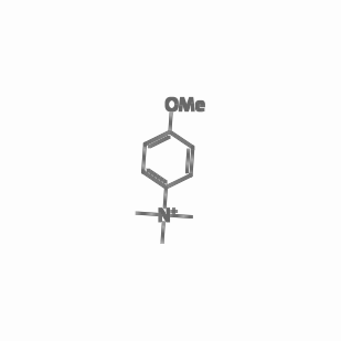 COc1ccc([N+](C)(C)C)cc1